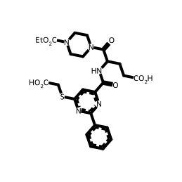 CCOC(=O)N1CCN(C(=O)C(CCC(=O)O)NC(=O)c2cc(SCC(=O)O)nc(-c3ccccc3)n2)CC1